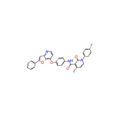 O=C(Nc1ccc(Oc2ccnc3cc(-c4ccccc4)oc23)cc1)c1c(I)ccn(-c2ccc(F)cc2)c1=O